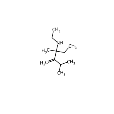 C=C(C(C)C)C(C)(CC)NCC